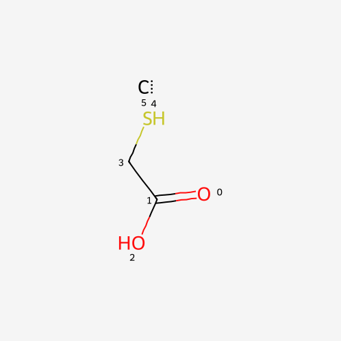 O=C(O)CS.[C]